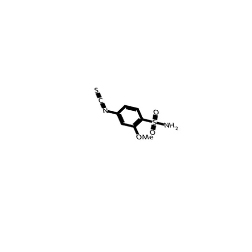 COc1cc(N=C=S)ccc1S(N)(=O)=O